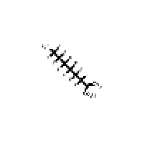 C=C(C(=O)OCC)C(F)(F)C(F)(F)C(F)(F)C(F)(F)C(F)(F)C(F)(F)C(F)(F)F